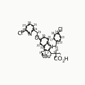 CC(C)(C)Sc1c(CC(C)(C)C(=O)O)n(Cc2ccc(Cl)cc2)c2ccc(OCc3cccc(Cl)n3)cc12